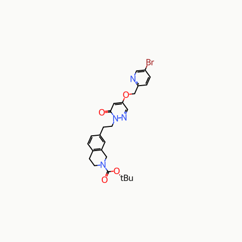 CC(C)(C)OC(=O)N1CCc2ccc(CCn3ncc(OCc4ccc(Br)cn4)cc3=O)cc2C1